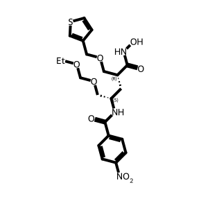 CCOCOC[C@H](C[C@H](COCc1ccsc1)C(=O)NO)NC(=O)c1ccc([N+](=O)[O-])cc1